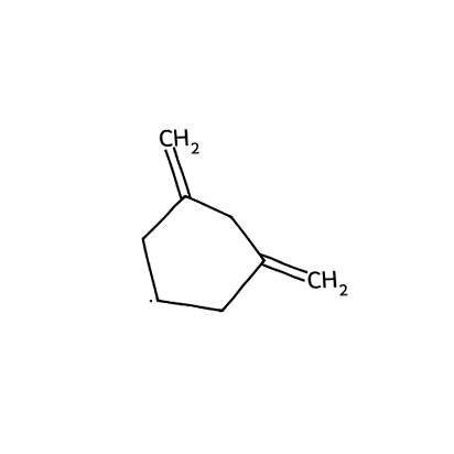 C=C1C[CH]CC(=C)C1